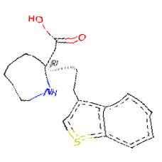 O=C(O)[C@]1(Cc2csc3ccccc23)CCCN1